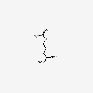 CCOC(=O)C(CCCNC(=N)N)NC